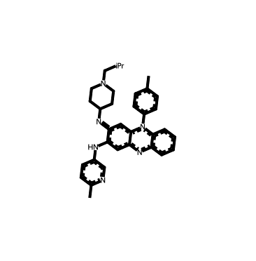 Cc1ccc(-n2c3c/c(=N\C4CCN(CC(C)C)CC4)c(Nc4ccc(C)nc4)cc-3nc3ccccc32)cc1